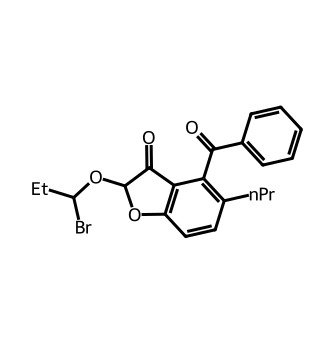 CCCc1ccc2c(c1C(=O)c1ccccc1)C(=O)C(OC(Br)CC)O2